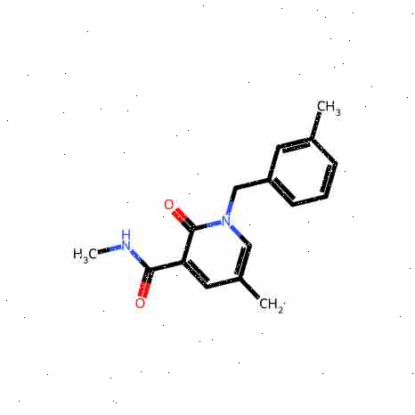 [CH2]c1cc(C(=O)NC)c(=O)n(Cc2cccc(C)c2)c1